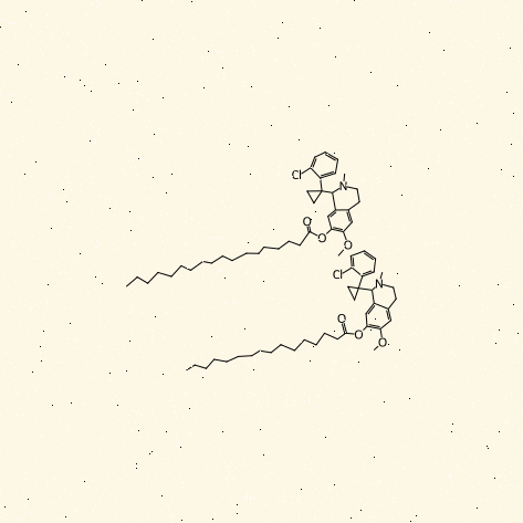 CCCCCCCCCCCCCCCC(=O)Oc1cc2c(cc1OC)CCN(C)C2C1(c2ccccc2Cl)CC1.CCCCCCCCCCCCCCCCCC(=O)Oc1cc2c(cc1OC)CCN(C)C2C1(c2ccccc2Cl)CC1